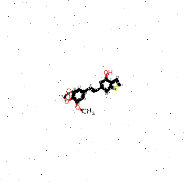 COc1cc(C=Cc2cc(O)c3ccsc3c2)cc2c1OCO2